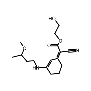 COC(C)CCNC1=C/C(=C(/C#N)C(=O)OCCO)CCC1